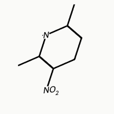 CC1CCC([N+](=O)[O-])C(C)[N]1